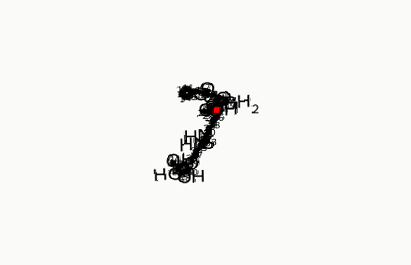 B[C@@H]1O[C@H](COC(=O)OCc2ccccc2)C(OP(O)(=S)OC)[C@@H]1CCCCCCCNC(=S)NCCCCO[C@@H]1C[C@H](CO)[C@H](O)[C@H](O)[C@H]1C